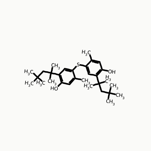 Cc1cc(O)c(C(C)(C)CC(C)(C)C)cc1Sc1cc(C(C)(C)CC(C)(C)C)c(O)cc1C